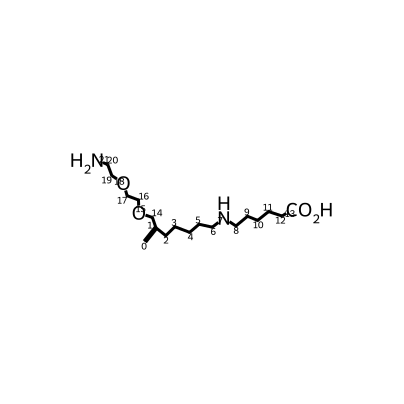 C=C(CCCCCNCCCCCC(=O)O)COCCOCCN